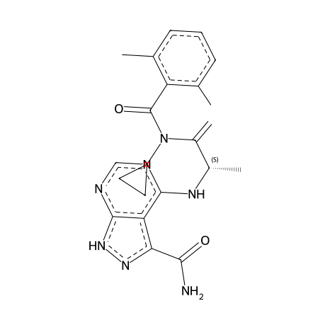 C=C([C@H](C)Nc1ncnc2[nH]nc(C(N)=O)c12)N(C(=O)c1c(C)cccc1C)C1CC1